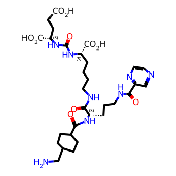 NCC1CCC(C(=O)N[C@@H](CCCNC(=O)c2cnccn2)C(=O)NCCCC[C@H](NC(=O)N[C@@H](CCC(=O)O)C(=O)O)C(=O)O)CC1